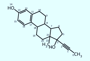 CC#CC1(O)CCC2C3CCc4cc(O)ccc4C3CCC21C